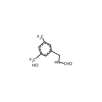 Cl.O=CNCc1cc(C(F)(F)F)cc(C(F)(F)F)c1